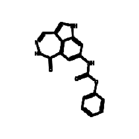 O=C(Nc1cc2c3c(c[nH]c3c1)C=NNC2=O)Oc1ccccc1